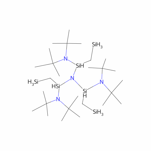 CC(C)(C)N([SiH](C[SiH3])N([SiH](C[SiH3])N(C(C)(C)C)C(C)(C)C)[SiH](C[SiH3])N(C(C)(C)C)C(C)(C)C)C(C)(C)C